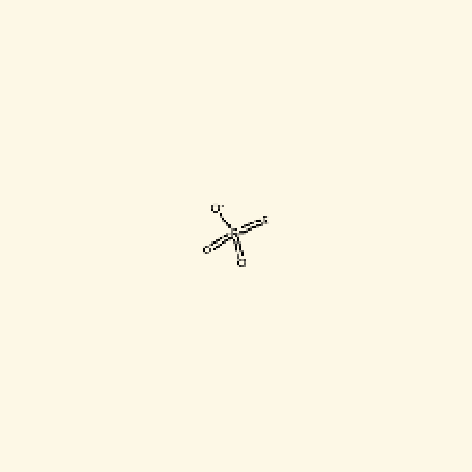 [O]=[Re](=[O])([O-])=[S]